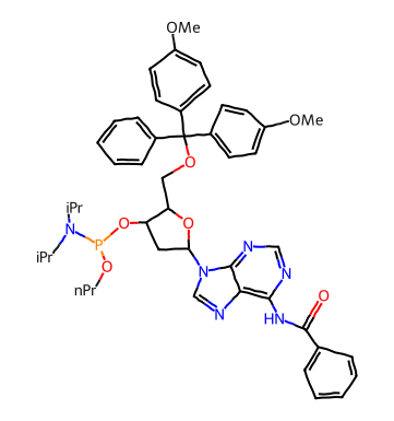 CCCOP(OC1CC(n2cnc3c(NC(=O)c4ccccc4)ncnc32)OC1COC(c1ccccc1)(c1ccc(OC)cc1)c1ccc(OC)cc1)N(C(C)C)C(C)C